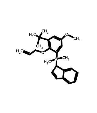 C=CCOc1c(C(C)(C)C)cc(OC)cc1[Si](C)(C)C1C=Cc2ccccc21